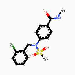 CCCNC(=O)c1ccc(N(Cc2ccccc2Cl)S(C)(=O)=O)cc1